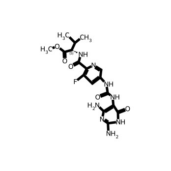 COC(=O)[C@@H](NC(=O)c1ncc(NC(=O)Nc2c(N)nc(N)[nH]c2=O)cc1F)C(C)C